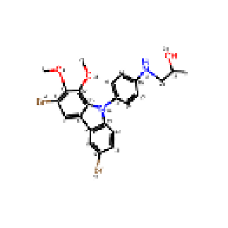 COc1c(Br)cc2c3cc(Br)ccc3n(-c3ccc(NCC(C)O)cc3)c2c1OC